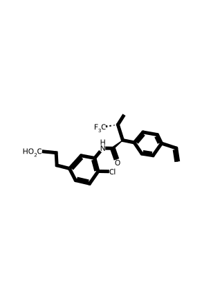 C=Cc1ccc([C@@H](C(=O)Nc2cc(CCC(=O)O)ccc2Cl)[C@@H](C)C(F)(F)F)cc1